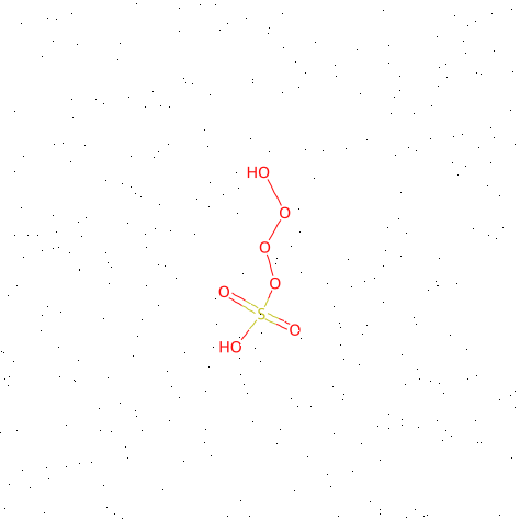 O=S(=O)(O)OOOO